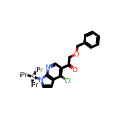 CC(C)[Si](C(C)C)(C(C)C)n1ccc2c(Cl)c(C(=O)COCc3ccccc3)cnc21